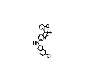 O=C1CCCN1C(c1ccc(NC2Cc3ccc(Cl)cc3C2)cn1)C(F)(F)F